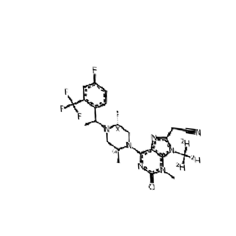 [2H]C([2H])([2H])n1c(CC#N)nc2c(N3C[C@@H](C)N(C(C)c4ccc(F)cc4C(F)(F)F)C[C@@H]3C)nc(=O)n(C)c21